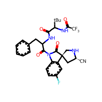 CC(C)(C)C(NC(=O)C(F)(F)F)C(=O)NC(Cc1ccccc1)C(=O)N1C(=O)[C@@]2(CN[C@H](C#N)C2)c2cc(F)ccc21